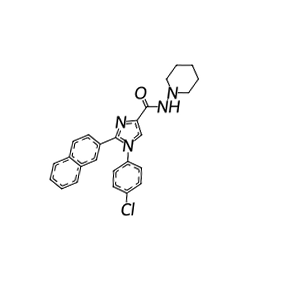 O=C(NN1CCCCC1)c1cn(-c2ccc(Cl)cc2)c(-c2ccc3ccccc3c2)n1